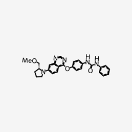 COC[C@@H]1CCCN1c1ccc2c(Oc3ccc(NC(=O)Nc4ccccc4)cc3)ncnc2c1